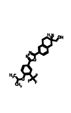 CC(C)Oc1ccc(-c2nnc(-c3ccc4c(c3)CCC(N)(CO)C4)o2)cc1C(F)(F)F